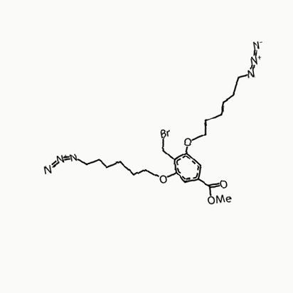 COC(=O)c1cc(OCCCCCCN=[N+]=[N-])c(CBr)c(OCCCCCCN=[N+]=[N-])c1